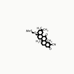 CSCOCC12CCC3C(C(=O)CC4C5(C)C=C(C#N)C(=O)CC5CCC34C)C1CC(C)(C)CC2